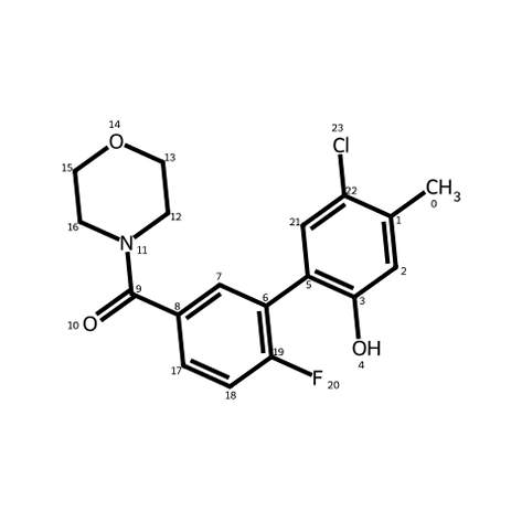 Cc1cc(O)c(-c2cc(C(=O)N3CCOCC3)ccc2F)cc1Cl